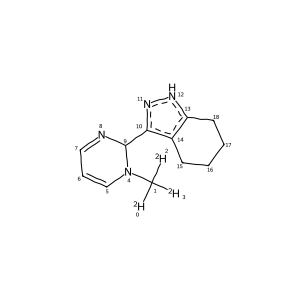 [2H]C([2H])([2H])N1C=CC=NC1c1n[nH]c2c1CCCC2